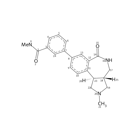 CNC(=O)c1cccc(-c2ccc3c(c2)C(=O)NC[C@@H]2CN(C)C[C@@H]32)c1